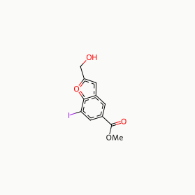 COC(=O)c1cc(I)c2oc(CO)cc2c1